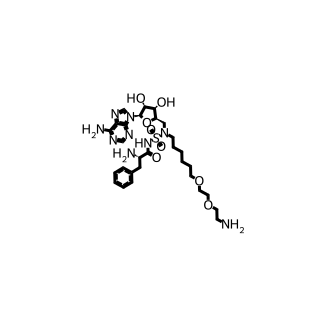 NCCOCCOCCCCCCN(C[C@H]1O[C@@H](n2cnc3c(N)ncnc32)[C@H](O)[C@@H]1O)S(=O)(=O)NC(=O)[C@@H](N)Cc1ccccc1